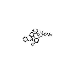 COC(=O)COc1ccc(Cl)c2c1c1c(C(N)=O)cccc1n2Cc1ccccc1